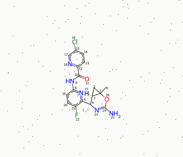 CC12C[C@@H]1[C@](C)(c1nc(NC(=O)c3ccc(Cl)cn3)ccc1F)N=C(N)O2